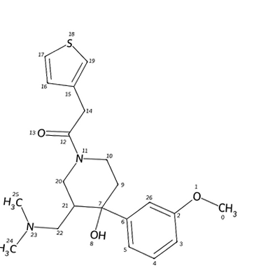 COc1cccc(C2(O)CCN(C(=O)Cc3ccsc3)CC2CN(C)C)c1